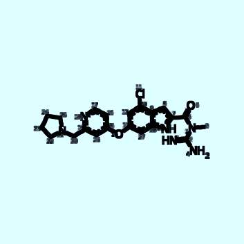 CN(C(=N)N)C(=O)c1cc2c(Cl)cc(Oc3ccnc(CN4CCCC4)c3)cc2[nH]1